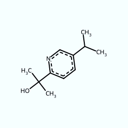 CC(C)c1ccc(C(C)(C)O)nc1